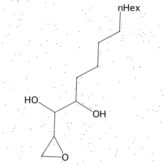 CCCCCCCCCCC(O)C(O)C1CO1